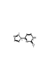 O=c1nc(-n2ccnn2)cc[nH]1